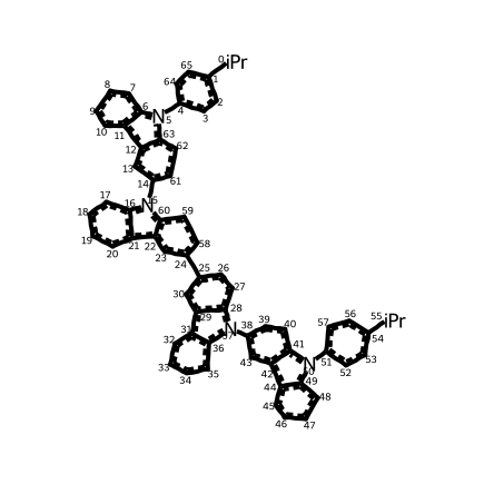 CC(C)c1ccc(-n2c3ccccc3c3cc(-n4c5ccccc5c5cc(-c6ccc7c(c6)c6ccccc6n7-c6ccc7c(c6)c6ccccc6n7-c6ccc(C(C)C)cc6)ccc54)ccc32)cc1